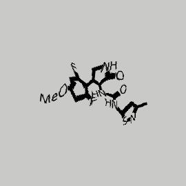 COc1cc(F)c(C2CNC(=O)C2NC(=O)Nc2cc(C)ns2)c(F)c1